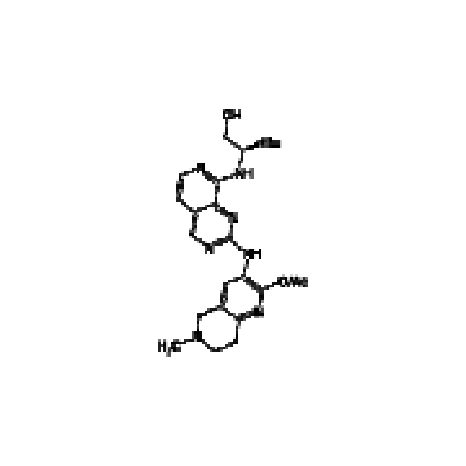 COc1nc2c(cc1Nc1ncc3ccnc(N[C@@H](CO)C(C)(C)C)c3n1)CN(C)CC2